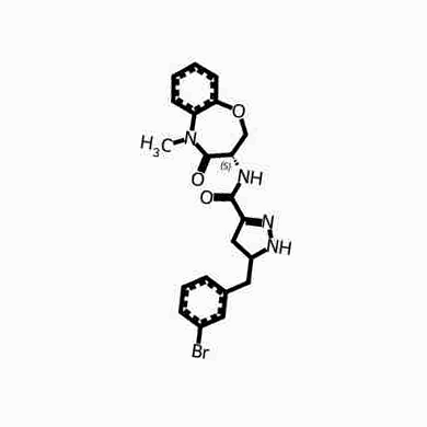 CN1C(=O)[C@@H](NC(=O)C2=NNC(Cc3cccc(Br)c3)C2)COc2ccccc21